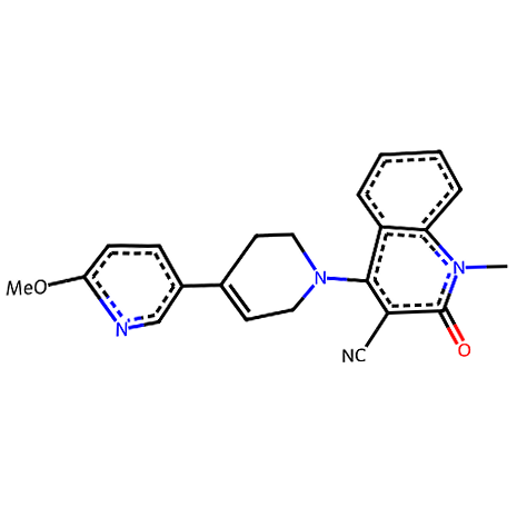 COc1ccc(C2=CCN(c3c(C#N)c(=O)n(C)c4ccccc34)CC2)cn1